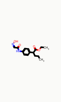 CCCC(C(=O)OCC)c1ccc(NC(=O)/C=N\O)cc1